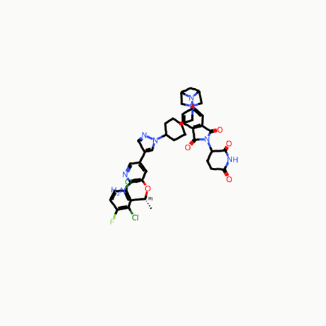 C[C@@H](Oc1cc(-c2cnn(C3CCC(CN4CC5CC(C4)N5c4ccc5c(c4)C(=O)N(C4CCC(=O)NC4=O)C5=O)CC3)c2)cnc1N)c1c(Cl)ccc(F)c1Cl